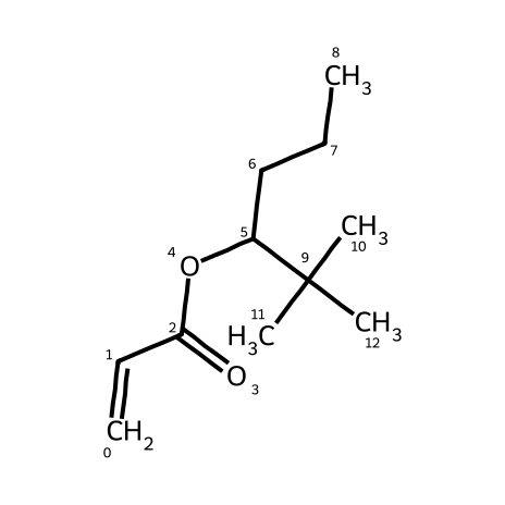 C=CC(=O)OC(CCC)C(C)(C)C